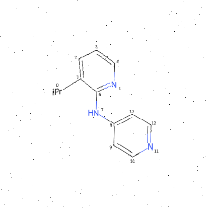 CC(C)c1cccnc1Nc1ccncc1